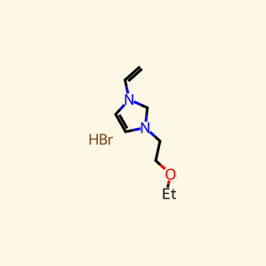 Br.C=CN1C=CN(CCOCC)C1